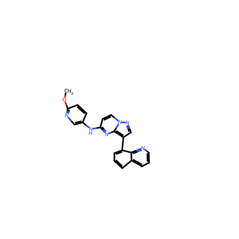 COc1ccc(Nc2ccn3ncc(-c4cccc5cccnc45)c3n2)cn1